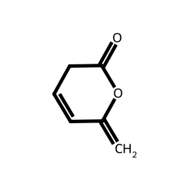 C=C1C=CCC(=O)O1